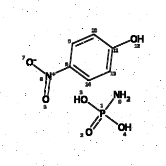 NP(=O)(O)O.O=[N+]([O-])c1ccc(O)cc1